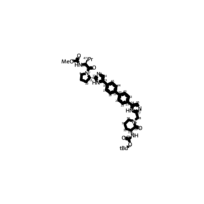 COC(=O)N[C@H](C(=O)N1CCC[C@H]1c1ncc(-c2ccc(-c3ccc(-c4cnc(CN5CCC[C@@H](NC(=O)OC(C)(C)C)C5=O)[nH]4)cc3)cc2)[nH]1)C(C)C